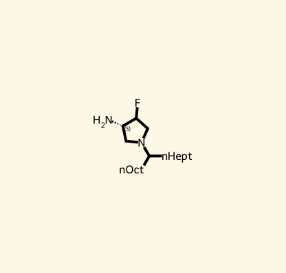 CCCCCCCCC(CCCCCCC)N1CC(F)[C@@H](N)C1